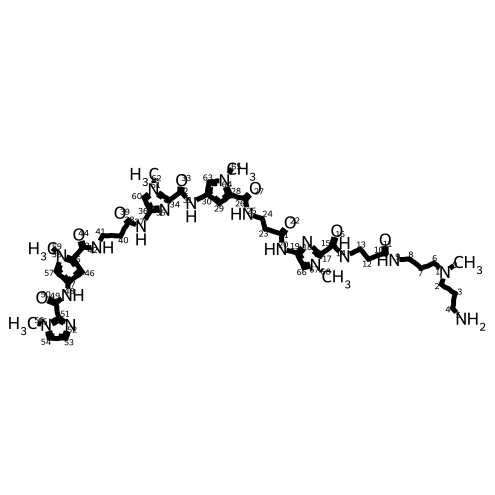 CN(CCCN)CCCNC(=O)CCNC(=O)c1nc(NC(=O)CCNC(=O)c2cc(NC(=O)c3nc(NC(=O)CCNC(=O)c4cc(NC(=O)c5nccn5C)cn4C)cn3C)cn2C)cn1C